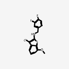 COc1cccc2c(Cl)c(NCc3ccc(F)c(F)c3)sc12